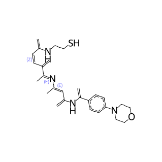 C=C(/C=C\C(=C)/C(C)=N/C(C)=C/C(=C)NC(=C)c1ccc(N2CCOCC2)cc1)NCCS